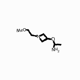 COCCN1CC(OC(C)N)C1